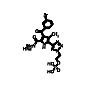 CNC(=O)c1[nH]c(-c2nnn(CCOP(=O)(O)O)n2)c(C)c1C(=O)c1cccc(Br)c1.[NaH]